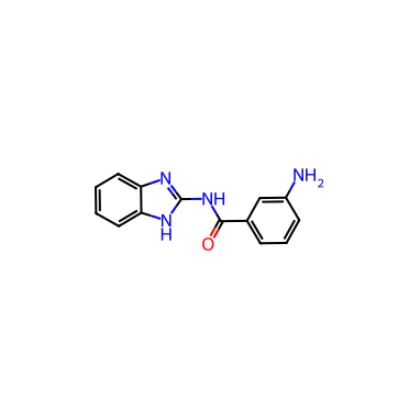 Nc1cccc(C(=O)Nc2nc3ccccc3[nH]2)c1